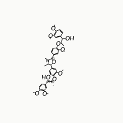 COc1ccc(C(O)C(C)Oc2ccc([C@H]3OC(c4ccc(O[C@H](C)[C@H](O)c5ccc(OC)c(OC)c5)c(OC)c4)C(C)[C@H]3C)cc2OC)cc1OC